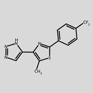 Cc1sc(-c2ccc(C(F)(F)F)cc2)nc1-c1cnn[nH]1